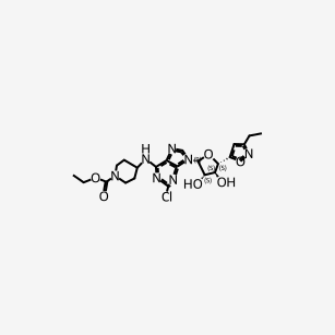 CCOC(=O)N1CCC(Nc2nc(Cl)nc3c2ncn3[C@@H]2O[C@H](c3cc(CC)no3)[C@@H](O)[C@@H]2O)CC1